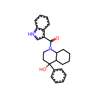 O=C(c1c[nH]c2ccccc12)N1CCC(O)(c2ccccc2)C2CCCCC21